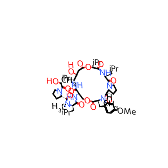 COc1ccc(C[C@H]2C(=O)OC[C@H](NC(=O)[C@@H](CC(C)C)N(C)C(=O)[C@@H]3CCCN3C(=O)[C@H](C)O)C(=O)N[C@H](C(C)C)[C@@H](O)CC(=O)O[C@@H](C(C)C)C(=O)N[C@@H](CC(C)C)C(=O)N3CCC[C@H]3C(=O)N2C)cc1